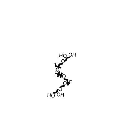 CCC(C)(CCOCC(O)CO)OCC(C)(F)C(C)(C)OCCC(C)(F)OCCOCC(O)CO